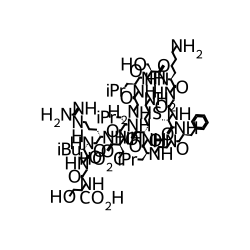 CC[C@H](C)[C@H](NC(=O)[C@H](CCCNC(=N)N)NC(=O)[C@H](CC(=O)O)NC(=O)[C@H](CC(C)C)NC(=O)[C@H](CCCCN)NC(=O)[C@H](CC(C)C)NC(=O)CNC(=O)[C@H](Cc1ccccc1)NC(=O)[C@H](CS)NC(=O)CNC(=O)[C@H](CCCCN)NC(=O)[C@H](CO)NC(=O)[C@H](CC(C)C)NC(=O)CN)C(=O)NCC(=O)N[C@@H](CO)C(=O)O